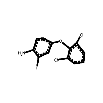 Nc1ccc(Oc2c(Cl)cccc2Cl)cc1I